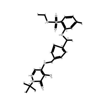 CCOS(=O)(=O)c1ccc(C)cc1OC(C)c1ccc(COc2cnn(C(C)(C)C)c(=O)c2Cl)cc1